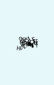 O=C(C(S[C@@H]1O[C@H](CO)[C@H](O)[C@H](n2cc(-c3cc(F)c(F)c(F)c3)nn2)[C@H]1O)C1(O)CCOCC1)N1CCCC1